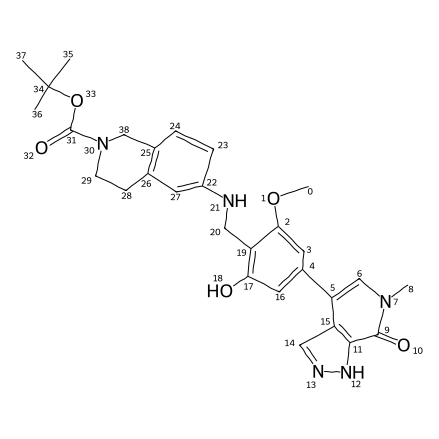 COc1cc(-c2cn(C)c(=O)c3[nH]ncc23)cc(O)c1CNc1ccc2c(c1)CCN(C(=O)OC(C)(C)C)C2